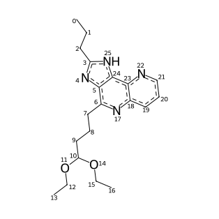 CCCc1nc2c(CCCC(OCC)OCC)nc3cccnc3c2[nH]1